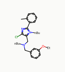 CCCCN(Cc1cccc(OCC)c1)Cc1c(Cl)nc(-c2ccccc2C)n1CCCC